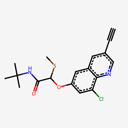 C#Cc1cnc2c(Cl)cc(OC(SC)C(=O)NC(C)(C)C)cc2c1